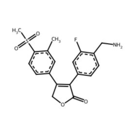 Cc1cc(C2=C(c3ccc(CN)c(F)c3)C(=O)OC2)ccc1S(C)(=O)=O